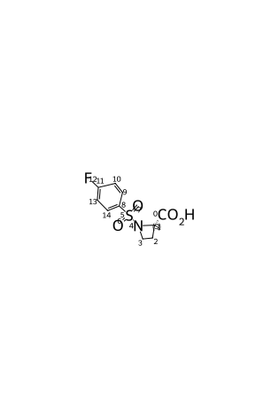 O=C(O)[C@@H]1CCN1S(=O)(=O)c1ccc(F)cc1